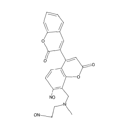 CN(CCN=O)Cc1c(N=O)ccc2c(-c3cc4ccccc4oc3=O)cc(=O)oc12